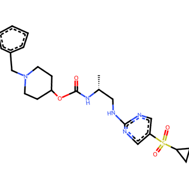 C[C@H](CNc1ncc(S(=O)(=O)C2CC2)cn1)NC(=O)OC1CCN(Cc2ccccc2)CC1